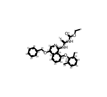 CCOC(=O)NC(=S)Nc1ncc(OCc2ccccc2)c2cccc(Oc3c(C)cccc3C)c12